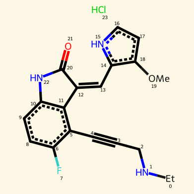 CCNCC#Cc1c(F)ccc2c1C(=Cc1[nH]ccc1OC)C(=O)N2.Cl